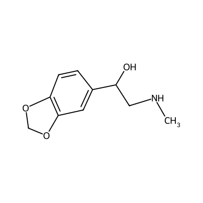 CNCC(O)c1ccc2c(c1)OCO2